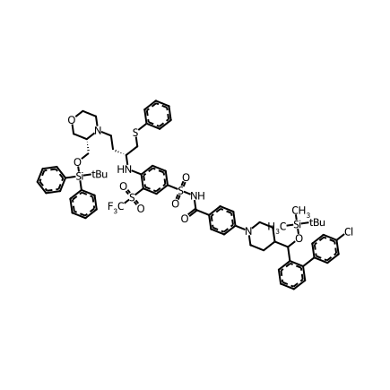 CC(C)(C)[Si](C)(C)OC(c1ccccc1-c1ccc(Cl)cc1)C1CCN(c2ccc(C(=O)NS(=O)(=O)c3ccc(N[C@H](CCN4CCOC[C@H]4CO[Si](c4ccccc4)(c4ccccc4)C(C)(C)C)CSc4ccccc4)c(S(=O)(=O)C(F)(F)F)c3)cc2)CC1